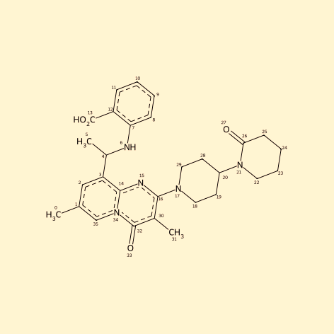 Cc1cc(C(C)Nc2ccccc2C(=O)O)c2nc(N3CCC(N4CCCCC4=O)CC3)c(C)c(=O)n2c1